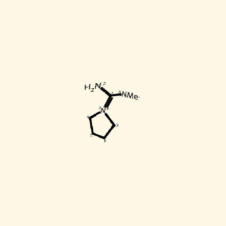 C[N]C(N)=[N+]1CCCC1